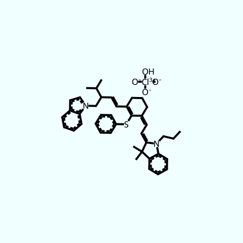 CCCN1C(=CC=C2CCCC(C=CC(Cn3ccc4ccccc43)C(C)C)=C2Sc2ccccc2)C(C)(C)c2ccccc21.[O-][Cl+3]([O-])([O-])O